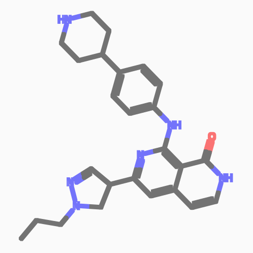 CCCN1CC(c2cc3cc[nH]c(=O)c3c(Nc3ccc(C4CCNCC4)cc3)n2)C=N1